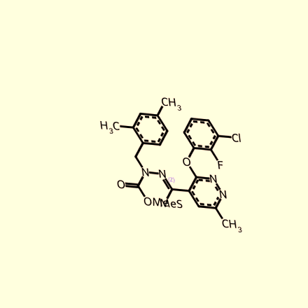 COC(=O)N(Cc1ccc(C)cc1C)/N=C(\SC)c1cc(C)nnc1Oc1cccc(Cl)c1F